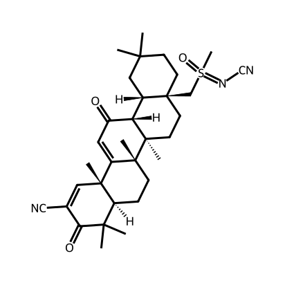 CC1(C)CC[C@]2(CS(C)(=O)=NC#N)CC[C@]3(C)[C@H](C(=O)C=C4[C@@]5(C)C=C(C#N)C(=O)C(C)(C)[C@@H]5CC[C@]43C)[C@@H]2C1